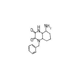 NC1CCCC2C1NC(=O)C(=O)N2Cc1ccccc1